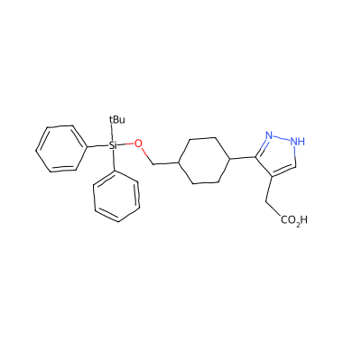 CC(C)(C)[Si](OCC1CCC(c2n[nH]cc2CC(=O)O)CC1)(c1ccccc1)c1ccccc1